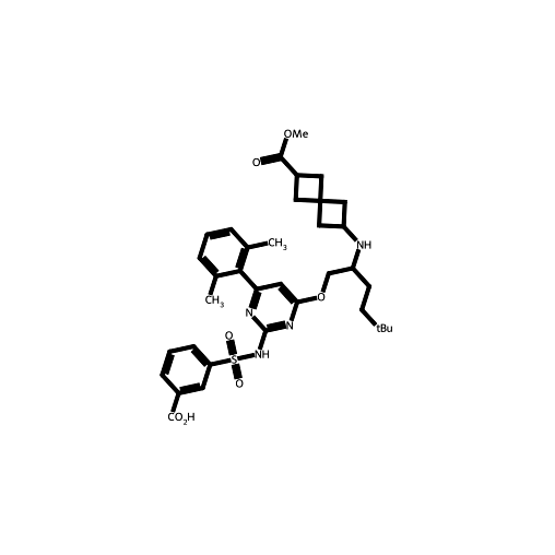 COC(=O)C1CC2(CC(NC(CCC(C)(C)C)COc3cc(-c4c(C)cccc4C)nc(NS(=O)(=O)c4cccc(C(=O)O)c4)n3)C2)C1